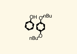 CCCCOc1ccc(OCCCC)cc1.Oc1ccccc1